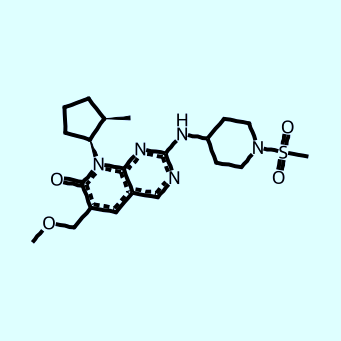 COCc1cc2cnc(NC3CCN(S(C)(=O)=O)CC3)nc2n([C@H]2CCC[C@H]2C)c1=O